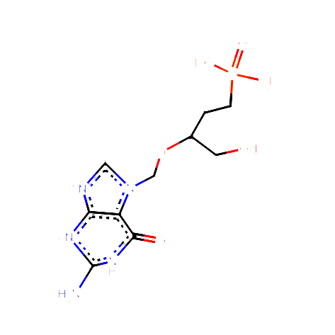 Nc1nc2ncn(COC(CO)CCP(=O)(O)O)c2c(=O)[nH]1